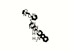 N[C@@H]1c2ccccc2CC12CCN(c1nc3nc(Sc4cccnc4OCc4ncco4)cnc3[nH]1)CC2